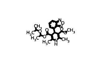 COC(=O)C1=C(C)NC(C)=C(C(=O)OC(C)OC(C)C)C1c1cccc2nonc12